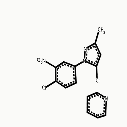 O=[N+]([O-])c1cc(-n2nc(C(F)(F)F)cc2Cl)ccc1Cl.c1ccncc1